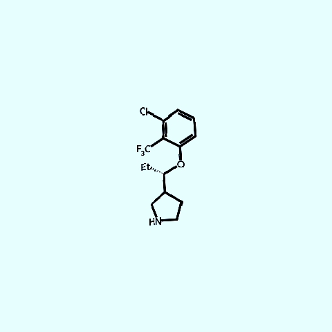 CC[C@H](Oc1cccc(Cl)c1C(F)(F)F)C1CCNC1